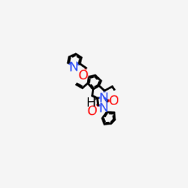 C=Cc1c(OCc2ccccn2)ccc2c1C[C@H]1C(=O)N(c3ccccc3)C(=O)N1C2CC